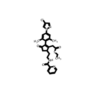 CCSC(=O)CC1=C(c2c(C)cc(-n3cc(Cl)cn3)cc2C)C(=O)CC1CCNC(=O)c1ccccn1